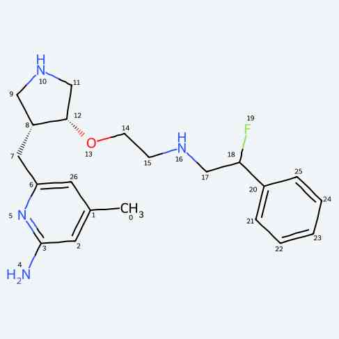 Cc1cc(N)nc(C[C@@H]2CNC[C@@H]2OCCNCC(F)c2ccccc2)c1